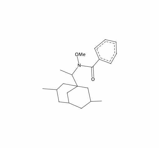 CON(C(=O)c1ccccc1)C(C)C12CC(C)CC(CC(C)C1)C2